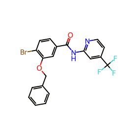 O=C(Nc1cc(C(F)(F)F)ccn1)c1ccc(Br)c(OCc2ccccc2)c1